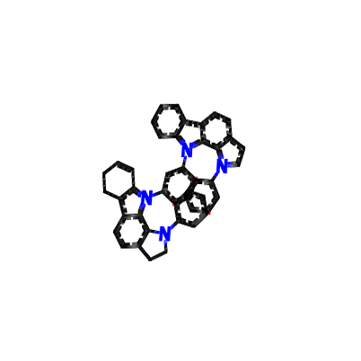 C1=Cc2c(c3ccc4c(c3n2-c2cccc(-n3c5ccccc5c5ccc6ccn(-c7ccccc7)c6c53)c2)N(c2ccccc2)CC4)CC1